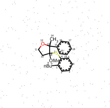 CCCCc1ccccc1SC1(OC)CCOC1(C)c1ccccc1